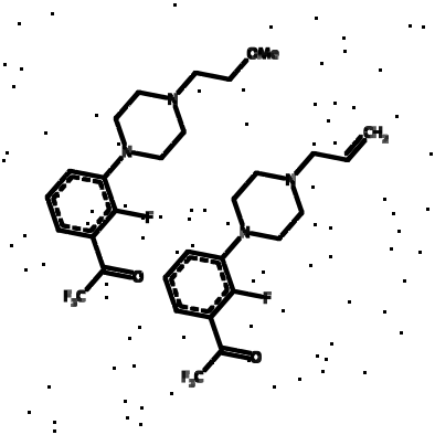 C=CCN1CCN(c2cccc(C(=O)C(F)(F)F)c2F)CC1.COCCN1CCN(c2cccc(C(=O)C(F)(F)F)c2F)CC1